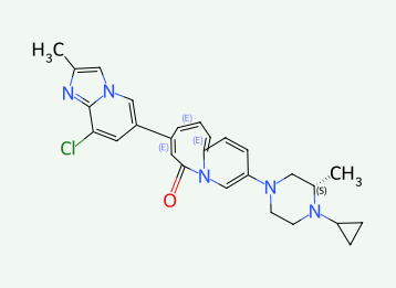 Cc1cn2cc(C3=C\C(=O)N4C=C(N5CCN(C6CC6)[C@@H](C)C5)C=C\C4=C/C=C/3)cc(Cl)c2n1